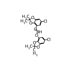 CC1(C)Oc2cc(Cl)cc(OBOc3cc(Cl)cc4c3OC(C)(C)O4)c2O1